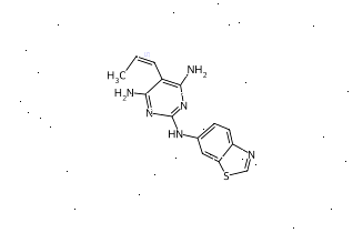 C/C=C\c1c(N)nc(Nc2ccc3ncsc3c2)nc1N